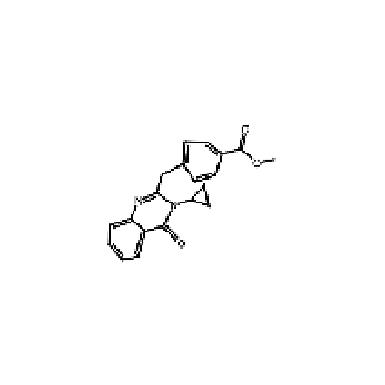 COC(=O)c1ccc(Cc2nc3ccccc3c(=O)n2C2CC2)cc1